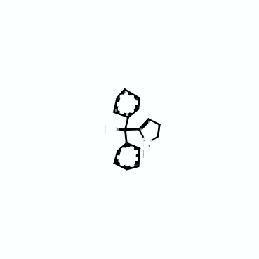 OC(C1=CCCN1)(c1ccccc1)c1ccccc1